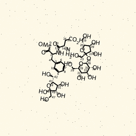 COC(=O)[C@H](Cc1ccccc1)NC(=O)[C@@H](N)CC(=O)O.OC[C@H]1O[C@@](CO)(O[C@H]2O[C@H](CO)[C@@H](O)[C@H](O)[C@H]2O)[C@@H](O)[C@@H]1O.OC[C@H]1O[C@](O)(CO)[C@@H](O)[C@@H]1O